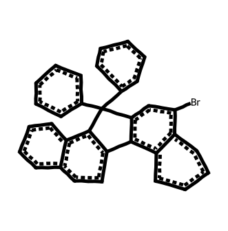 Brc1cc2c(c3ccccc13)-c1ccc3ccccc3c1C2(c1ccccc1)c1ccccc1